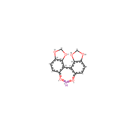 c1cc2o[pH]oc3ccc4c(c3c2c2c1OCO2)OCO4